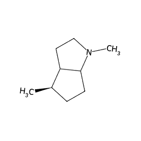 C[C@@H]1CCC2C1CCN2C